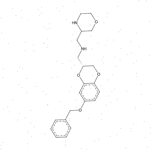 c1ccc(COc2ccc3c(c2)O[C@H](CNCC2COCCN2)CO3)cc1